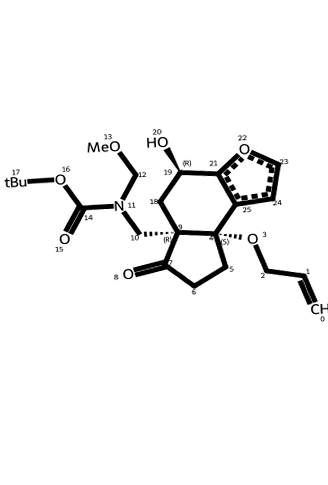 C=CCO[C@]12CCC(=O)[C@@]1(CN(COC)C(=O)OC(C)(C)C)C[C@@H](O)c1occc12